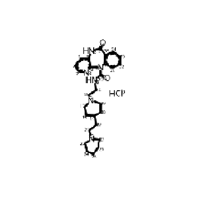 Cl.O=C1Nc2cccnc2N(C(=O)NCCN2CCC(CCN3CCCCC3)CC2)c2ccccc21